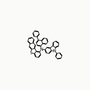 c1ccc(-c2ccc(N(c3ccc4c(c3)c3ccccc3n4-c3ccccc3)c3cccc4sc5cc6ccccc6cc5c34)c3ccccc23)cc1